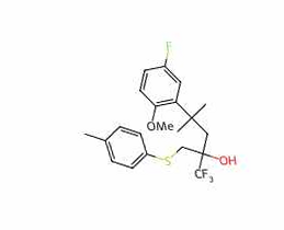 COc1ccc(F)cc1C(C)(C)CC(O)(CSc1ccc(C)cc1)C(F)(F)F